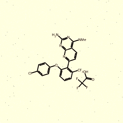 CNc1nc(N)nc2nc(-c3c(Oc4ccc(Cl)cc4)cccc3C(F)(F)F)ccc12.O=C(O)C(F)(F)F